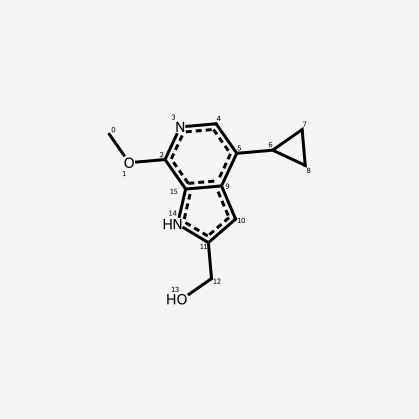 COc1ncc(C2CC2)c2cc(CO)[nH]c12